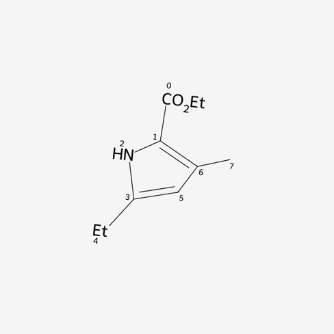 CCOC(=O)c1[nH]c(CC)cc1C